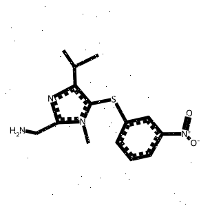 CC(C)c1nc(CN)n(C)c1Sc1cccc([N+](=O)[O-])c1